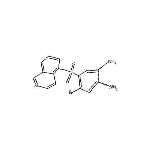 Nc1cc(Br)c(S(=O)(=O)c2cccc3cnccc23)cc1N